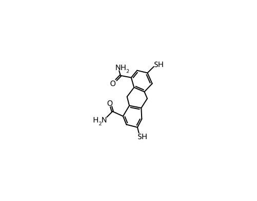 NC(=O)c1cc(S)cc2c1Cc1c(cc(S)cc1C(N)=O)C2